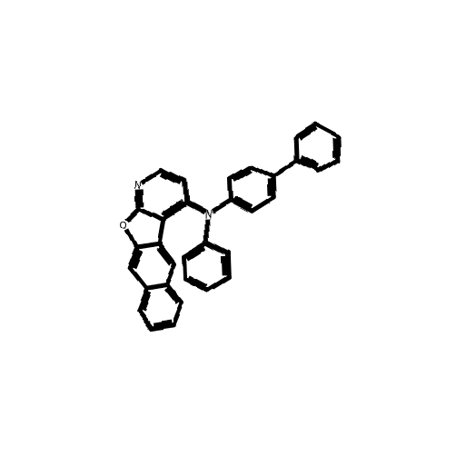 c1ccc(-c2ccc(N(c3ccccc3)c3ccnc4oc5cc6ccccc6cc5c34)cc2)cc1